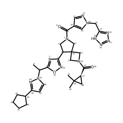 CC(c1nc(C2CN(C(=O)c3cnn(Cc4nnn[nH]4)c3)CC23CN(C(=O)[C@H]2CC2(C)C)C3)no1)n1ccc(C2CCCC2)n1